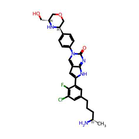 C[C@H](N)CCCc1cc(Cl)c(F)c(-c2cc3cn(-c4ccc([C@@H]5COC[C@@H](CO)N5)cc4)c(=O)nc3[nH]2)c1